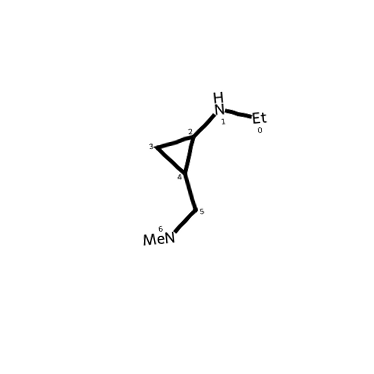 CCNC1CC1CNC